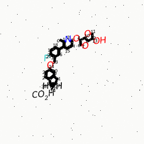 Cc1nc(O[C@@H]2COC3C2OC[C@@H]3O)ccc1-c1ccc(F)c(COc2ccc3c(c2)C[C@H]2[C@H](C(=O)O)[C@@H]32)c1